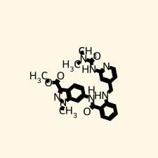 COC(=O)c1nn(C)c2cc(NC(=O)c3ccccc3NCc3ccnc(NC(=O)N(C)C)c3)ccc12